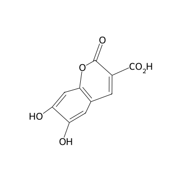 O=C(O)c1cc2cc(O)c(O)cc2oc1=O